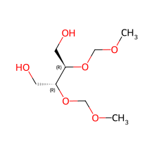 COCO[C@H](CO)[C@@H](CO)OCOC